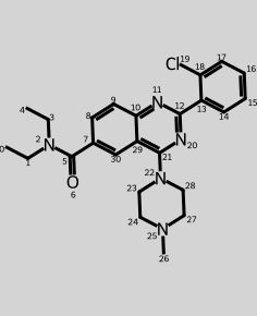 CCN(CC)C(=O)c1ccc2nc(-c3ccccc3Cl)nc(N3CCN(C)CC3)c2c1